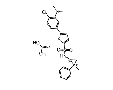 CN(C)c1cc(-c2ccc(S(=O)(=O)N[C@H]3C[C@]3(C)c3ccccc3)s2)ccc1Cl.O=C(O)O